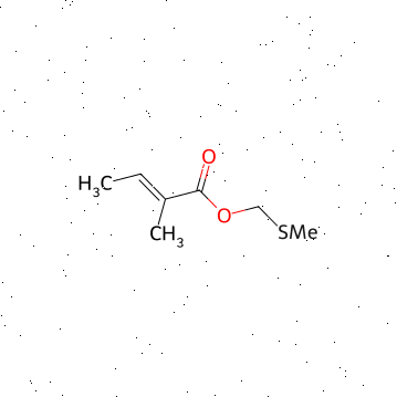 C/C=C(\C)C(=O)OCSC